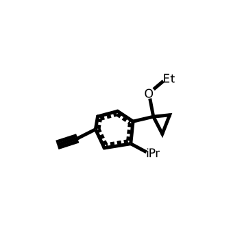 C#Cc1ccc(C2(OCC)CC2)c(C(C)C)c1